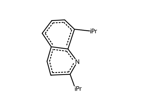 CC(C)c1ccc2cccc(C(C)C)c2n1